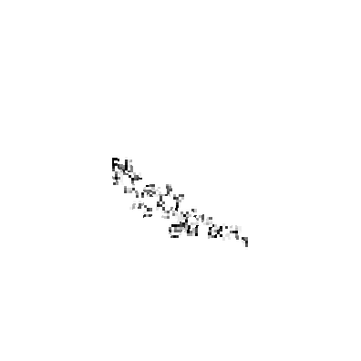 COCC1CN(c2ccc3c(c2)CCC(CCC(F)(F)F)O3)C(=O)O1